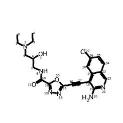 CCN(CC)CC(O)CNC(=O)c1nnc(C#Cc2c(N)ncc3ccc(Cl)cc23)o1